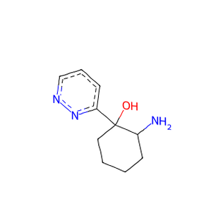 NC1CCCCC1(O)c1cccnn1